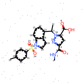 CNC(=O)c1cc(C(=O)O)n(C(C)c2cccc3c2ccn3S(=O)(=O)c2ccc(C)cc2)n1